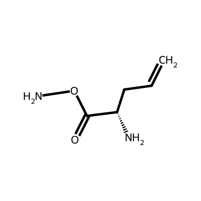 C=CC[C@H](N)C(=O)ON